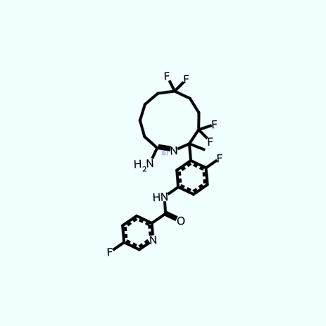 CC1(c2cc(NC(=O)c3ccc(F)cn3)ccc2F)/N=C(/N)CCCCC(F)(F)CCC1(F)F